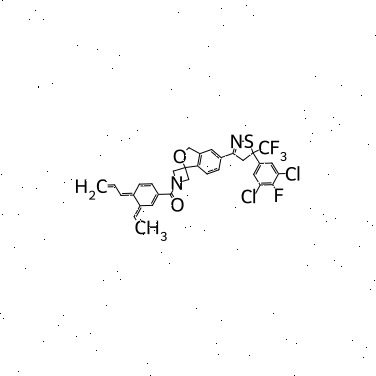 C=CC=c1ccc(C(=O)N2CC3(C2)OCc2cc(C4=NSC(c5cc(Cl)c(F)c(Cl)c5)(C(F)(F)F)C4)ccc23)cc1=CC